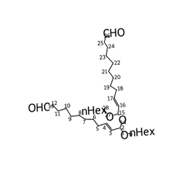 CCCCCCOC(C=CCCCCCCCCC=O)OC(C=CCCCCCCCCC=O)OCCCCCC